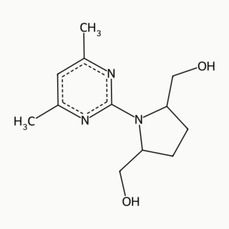 Cc1cc(C)nc(N2C(CO)CCC2CO)n1